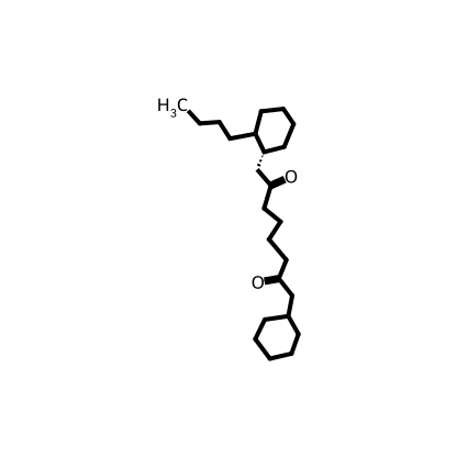 CCCCC1CCCC[C@@H]1CC(=O)CCCCC(=O)CC1CCCCC1